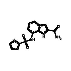 NC(=O)c1cc2cccc(NS(=O)(=O)c3cccs3)c2[nH]1